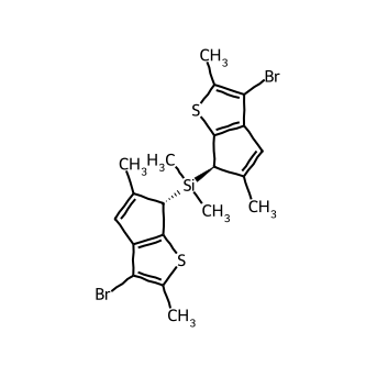 CC1=Cc2c(sc(C)c2Br)[C@@H]1[Si](C)(C)[C@H]1C(C)=Cc2c1sc(C)c2Br